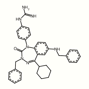 N=C(N)Nc1ccc(N2C(=O)N(Cc3ccccc3)N=C(C3CCCCC3)c3cc(NCc4ccccc4)ccc32)cc1